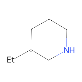 CC[C]1CCCNC1